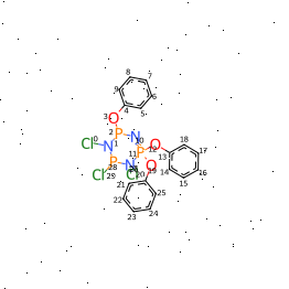 ClN1P(Oc2ccccc2)N=P(Oc2ccccc2)(Oc2ccccc2)N(Cl)P1Cl